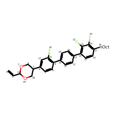 C=CC1OCC(c2ccc(-c3ccc(-c4ccc(CCCCCCCC)c(F)c4F)cc3)c(F)c2)CO1